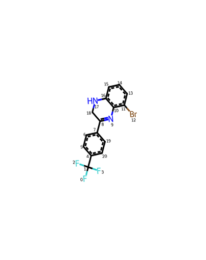 FC(F)(F)c1ccc(C2=Nc3c(Br)cccc3NC2)cc1